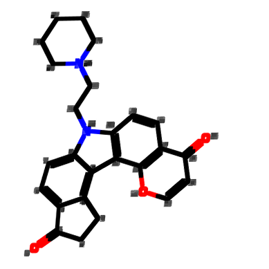 O=C1CCc2c1ccc1c2c2c3occc(=O)c3ccc2n1CCN1CCCCC1